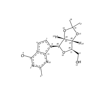 Cc1nc(Cl)c2ccn([C@@H]3O[C@H](CO)[C@H]4OC(C)(C)O[C@H]43)c2n1